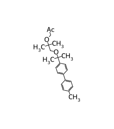 CC(=O)COC(C)(C)COC(C)(C)c1ccc(-c2ccc(C)cc2)cc1